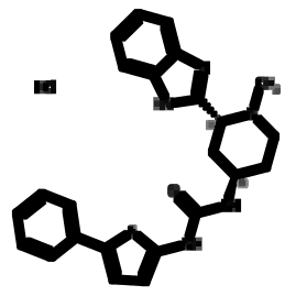 CN1CC[C@@H](NC(=O)Nc2ccc(-c3ccccc3)s2)C[C@@H]1c1nc2ccccc2[nH]1.Cl